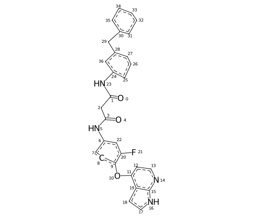 O=C(CC(=O)Nc1ccc(Oc2ccnc3[nH]ccc23)c(F)c1)Nc1cccc(Cc2ccccc2)c1